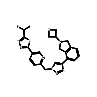 FC(F)c1nnc(-c2ccc(Cn3cc(-c4cccc5c4CN(C4COC4)C5)nn3)nc2)o1